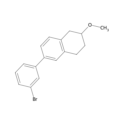 COC1CCc2cc(-c3cccc(Br)c3)ccc2C1